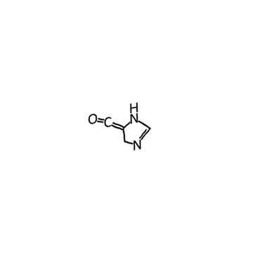 O=C=C1CN=CN1